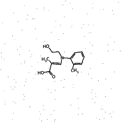 CC(=CN(CCO)c1ccccc1C)C(=O)O